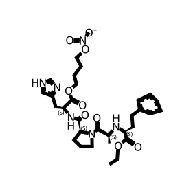 CCOC(=O)[C@H](CCc1ccccc1)N[C@@H](C)C(=O)N1CCC[C@H]1C(=O)N[C@@H](Cc1c[nH]cn1)C(=O)OCCCCO[N+](=O)[O-]